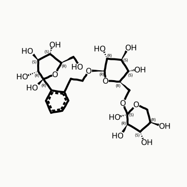 OC[C@H]1O[C@](O)(c2ccccc2CCO[C@@H]2O[C@H](CO[C@@]3(O)OC[C@@H](O)[C@H](O)[C@H]3O)[C@@H](O)[C@H](O)[C@H]2O)[C@H](O)[C@@H](O)[C@@H]1O